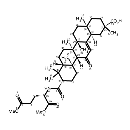 COC(=O)CC[C@H](NC(=O)[C@H]1CC[C@]2(C)[C@H]3C(=O)C=C4[C@@H]5C[C@@](C)(C(=O)O)CC[C@]5(C)CC[C@@]4(C)[C@]3(C)CC[C@H]2C1(C)C)C(=O)OC